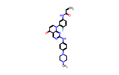 C=CC(=O)Nc1ccc(F)c(-n2ccc(=O)c3cnc(Nc4ccc(N5CCN(C)CC5)cc4)nc32)c1